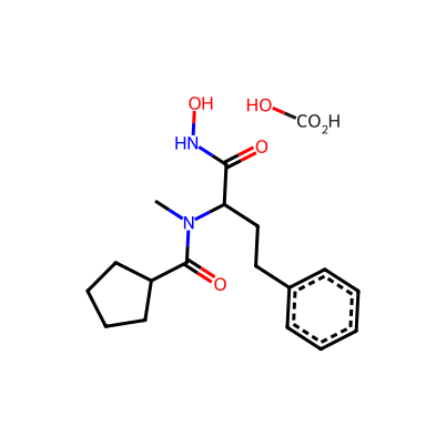 CN(C(=O)C1CCCC1)C(CCc1ccccc1)C(=O)NO.O=C(O)O